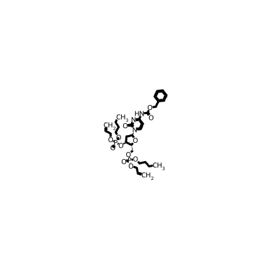 C=CCOP(=O)(OCCCC)OC[C@H]1O[C@@H](n2ccc(NC(=O)OCc3ccccc3)nc2=O)C[C@@H]1OP(=O)(OCC=C)OCCCC